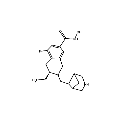 CC[C@H]1Cc2c(F)cc(C(=O)NO)cc2CN1CC1C2CNCC1C2